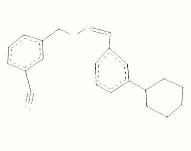 N#Cc1cccc(CO/N=[C]\c2cccc(C3CCCCC3)c2)c1